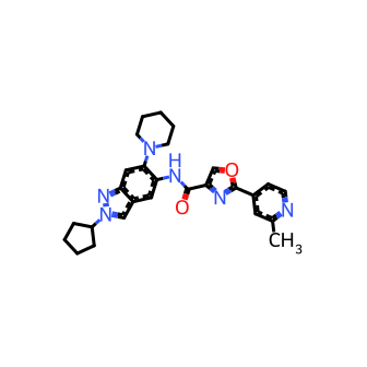 Cc1cc(-c2nc(C(=O)Nc3cc4cn(C5CCCC5)nc4cc3N3CCCCC3)co2)ccn1